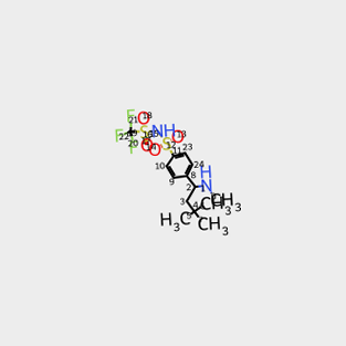 CNC(CC(C)(C)C)c1ccc(S(=O)(=O)NS(=O)(=O)C(F)(F)F)cc1